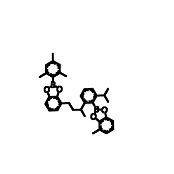 Cc1cc(C)c(B2Oc3cccc(CCC(C)c4cccc(C(C)C)c4B4Oc5cccc(C)c5O4)c3O2)c(C)c1